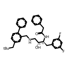 CC(C)(C)Cc1ccc(-c2ccccc2)c(CNC[C@@H](O)[C@H](Cc2cc(F)cc(F)c2)NC(=O)Cc2ccccc2)c1